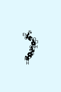 CCC(CCN(C)C)C(=O)N1CCN(C(=O)c2ccc(NC(=O)c3ncc(-c4ccc(-c5c[nH]nc5C)c(F)c4F)n3C)cc2Cl)CC1